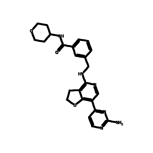 Nc1nccc(-c2cnc(NCc3cccc(C(=O)NC4CCOCC4)c3)c3c2OCC3)n1